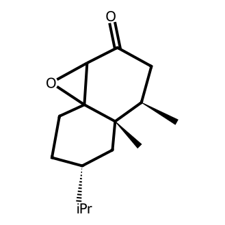 CC(C)[C@@H]1CCC23OC2C(=O)C[C@@H](C)[C@]3(C)C1